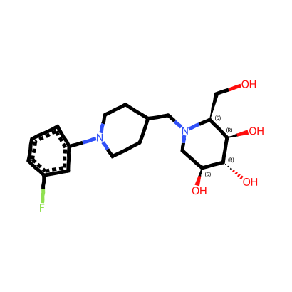 OC[C@H]1[C@@H](O)[C@H](O)[C@@H](O)CN1CC1CCN(c2cccc(F)c2)CC1